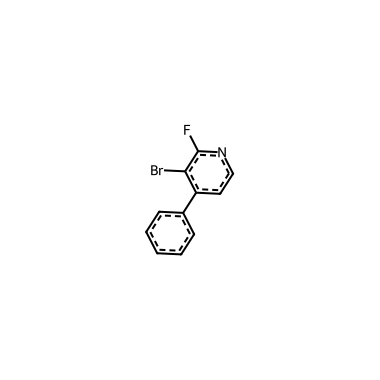 Fc1nccc(-c2ccccc2)c1Br